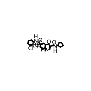 Cc1c(Cl)cccc1NS(=O)(=O)c1ccc2[nH]cc(C(=O)NC3CCCC3)c(=O)c2c1